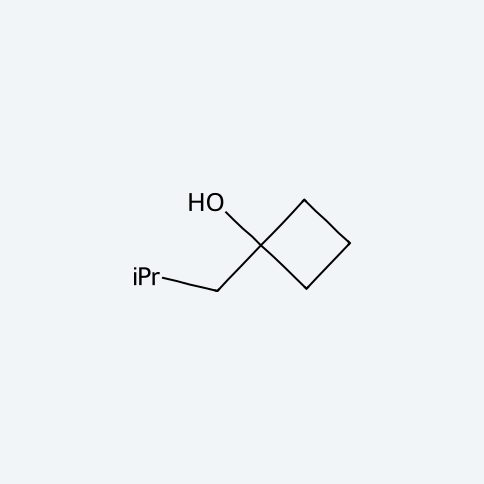 CC(C)CC1(O)CCC1